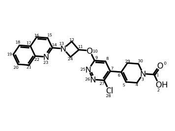 O=C(O)N1CC=C(c2cc(OC3CN(c4ccc5ccccc5n4)C3)nnc2Cl)CC1